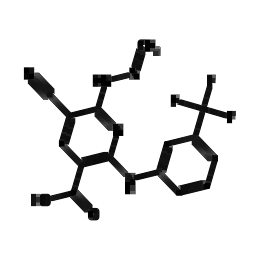 C=NNc1nc(Nc2cccc(C(F)(F)F)c2)c(C(=O)O)cc1C#N